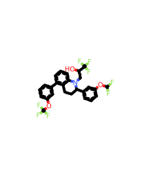 OC(CN1c2cccc(-c3cccc(OC(F)(F)F)c3)c2CCC1c1cccc(OC(F)F)c1)C(F)(F)F